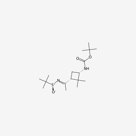 C/C(=N\[S@@+]([O-])C(C)(C)C)[C@@H]1C[C@H](NC(=O)OC(C)(C)C)C1(C)C